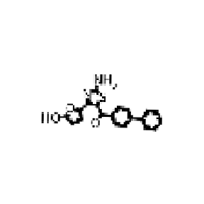 Nc1nc(-c2ccc(O)o2)c(C(=O)c2ccc(-c3ccccc3)cc2)s1